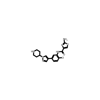 Nc1nc(C(=O)Nc2cc(-c3cnn(C4CCNCC4)c3)ccc2Cl)co1